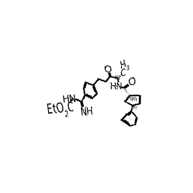 CCOC(=O)NC(=N)c1ccc(CCC(=O)[C@H](C)NC(=O)[C@@H]2CC[C@@H](c3ccccc3)C2)cc1